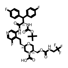 CC(C)(C)OC(=O)N[C@H](C(=O)Nc1cncc(F)c1CC[C@@H]1CN(C(=O)O)[C@H](COC(=O)NCC(F)(F)F)CO1)C(c1ccc(F)cc1)c1ccc(F)cc1